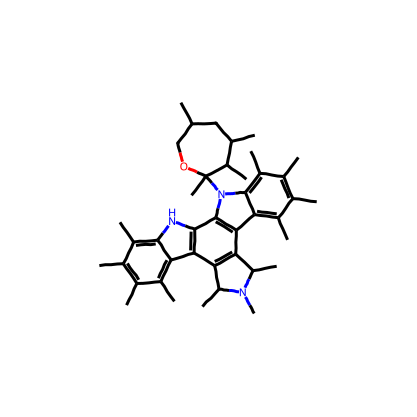 Cc1c(C)c(C)c2c([nH]c3c2c2c(c4c5c(C)c(C)c(C)c(C)c5n(C5(C)OCC(C)CC(C)C5C)c34)C(C)N(C)C2C)c1C